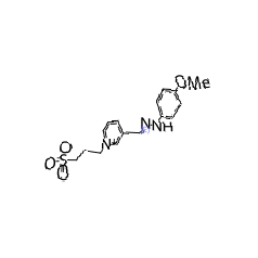 COc1ccc(N/N=C/c2ccc[n+](CCCS(=O)(=O)[O-])c2)cc1